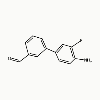 Nc1ccc(-c2cccc(C=O)c2)cc1F